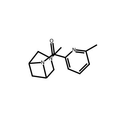 Cc1cccc(C(=O)N2C3CC2CN(C)C3)n1